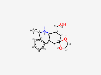 CC(N[C@@H]1CCC2(C[C@H]1CO)OCCO2)c1ccccc1